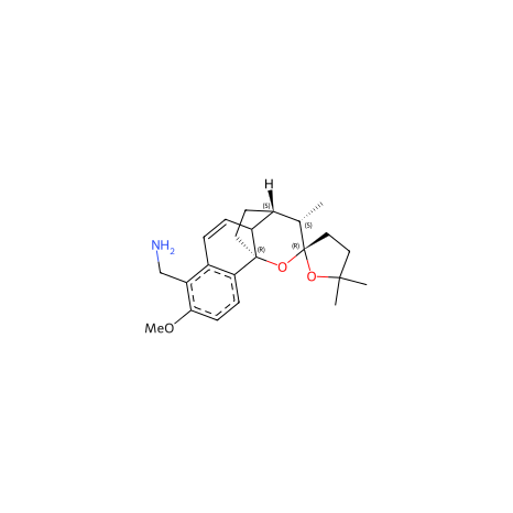 COc1ccc2c(c1CN)C=CC1[C@@H]3CC[C@]21O[C@]1(CCC(C)(C)O1)[C@H]3C